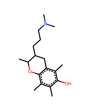 Cc1c(C)c2c(c(C)c1O)CC(CCCN(C)C)C(C)O2